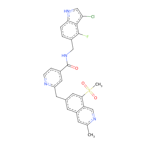 Cc1cc2cc(Cc3cc(C(=O)NCc4ccc5[nH]cc(Cl)c5c4F)ccn3)cc(S(C)(=O)=O)c2cn1